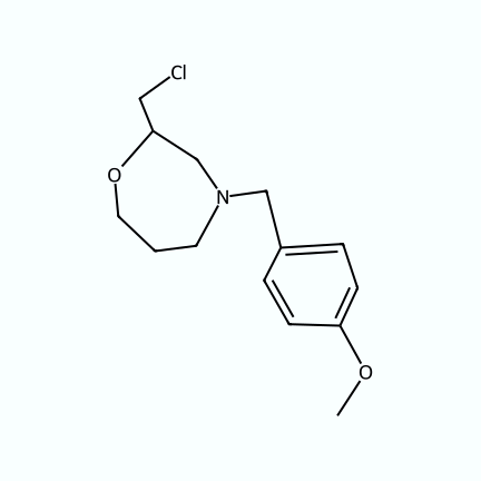 COc1ccc(CN2CCCOC(CCl)C2)cc1